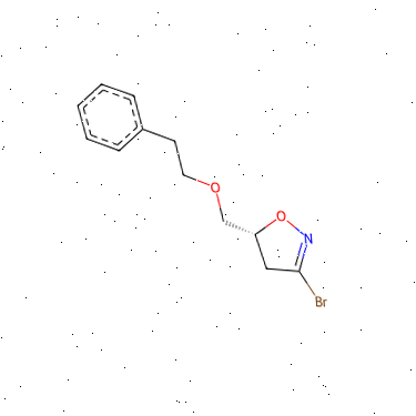 BrC1=NO[C@@H](COCCc2ccccc2)C1